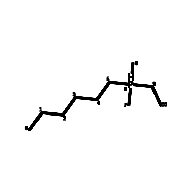 CCCCCC[PH](C)(C)CC